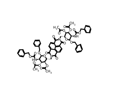 CC(=O)O[C@@H]1[C@@H](NC(=O)OCc2ccccc2)[C@@H](OCc2ccccc2)O[C@H](CN2C(=O)c3ccc4c5c(ccc(c35)C2=O)C(=O)N(C[C@H]2O[C@H](OCc3ccccc3)[C@H](NC(=O)OCc3ccccc3)[C@@H](OC(C)=O)[C@@H]2OC(C)=O)C4=O)[C@H]1OC(C)=O